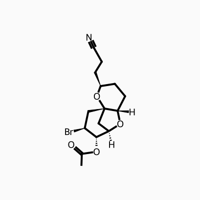 CC(=O)O[C@@H]1[C@@H](Br)C[C@]23C[C@H]1O[C@H]2CC[C@H](CCC#N)O3